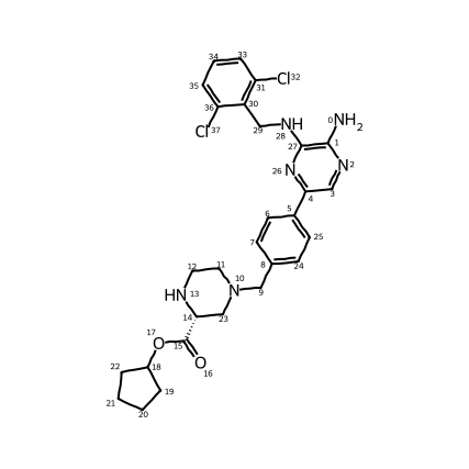 Nc1ncc(-c2ccc(CN3CCN[C@@H](C(=O)OC4CCCC4)C3)cc2)nc1NCc1c(Cl)cccc1Cl